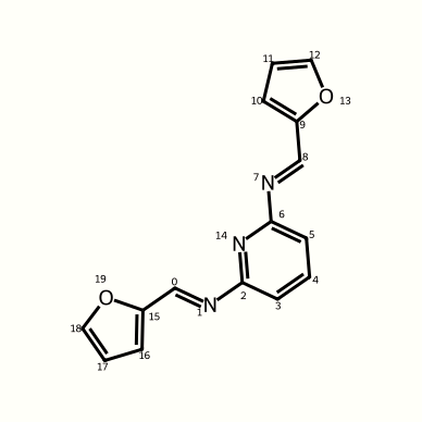 C(=N\c1cccc(/N=C/c2ccco2)n1)/c1ccco1